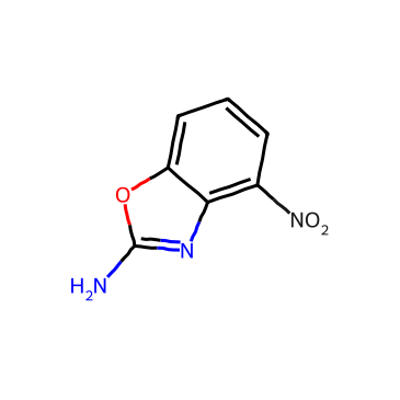 Nc1nc2c([N+](=O)[O-])cccc2o1